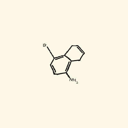 Nc1ccc(Br)c2c1CC=CC2